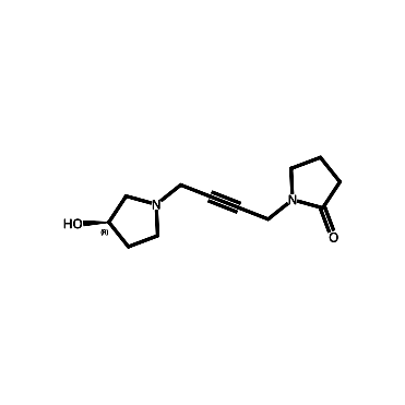 O=C1CCCN1CC#CCN1CC[C@@H](O)C1